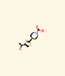 CC(=O)c1csc(C2CCN(C(=O)O)CC2)n1